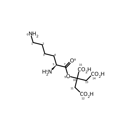 NCCCC[C@H](N)C(=O)OC(CC(=O)O)(CC(=O)O)C(=O)O